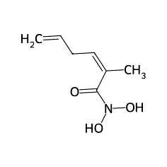 C=CCC=C(C)C(=O)N(O)O